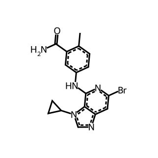 Cc1ccc(Nc2nc(Br)cc3ncn(C4CC4)c23)cc1C(N)=O